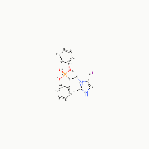 Cc1[nH]cc[n+]1CCP(=O)(Oc1ccccc1)Oc1ccccc1.[I-]